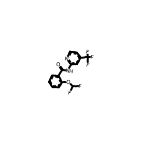 O=C(Nc1cc(C(F)(F)F)ccn1)c1ccccc1OC(F)F